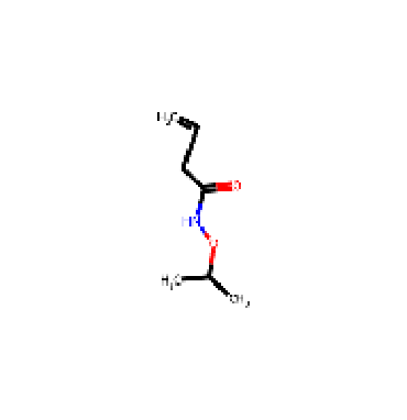 C=CCC(=O)NOC(C)C